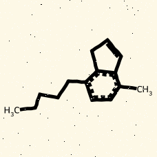 CCCCCc1ccc(C)c2c1CC=C2